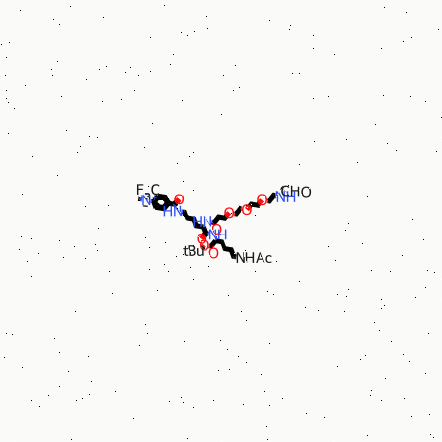 CC(=O)NCCCCC(NC(=O)C(CCCCNC(=O)c1ccc([N+](C)(C)C)c(C(F)(F)F)c1)NC(=O)CCOCCOCCOCCNC=O)C(=O)OC(C)(C)C